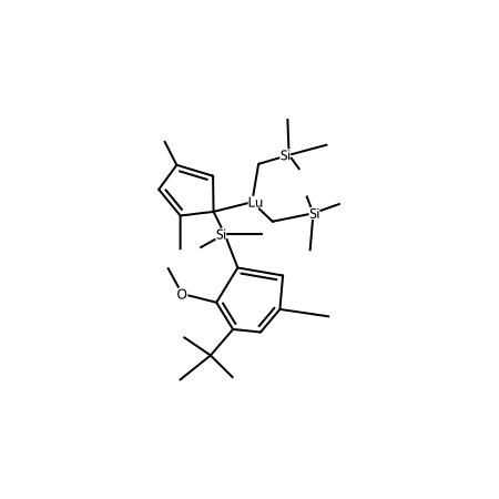 COc1c(C(C)(C)C)cc(C)cc1[Si](C)(C)[C]1([Lu]([CH2][Si](C)(C)C)[CH2][Si](C)(C)C)C=C(C)C=C1C